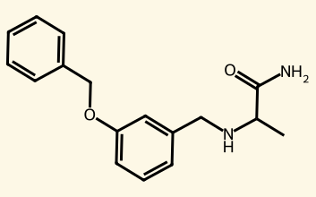 CC(NCc1cccc(OCc2ccccc2)c1)C(N)=O